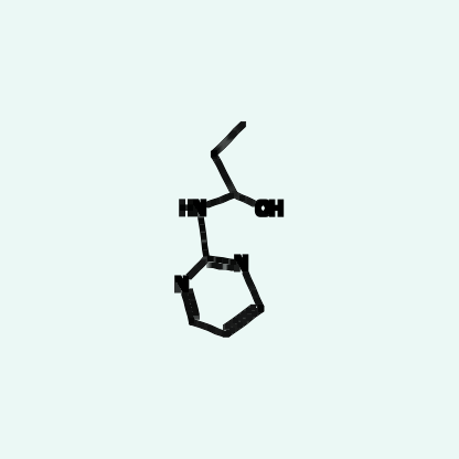 CCC(O)Nc1ncccn1